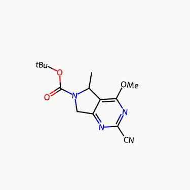 COc1nc(C#N)nc2c1C(C)N(C(=O)OC(C)(C)C)C2